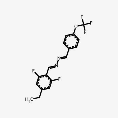 CCc1cc(F)c(C=NN=Cc2ccc(OC(F)(F)F)cc2)c(F)c1